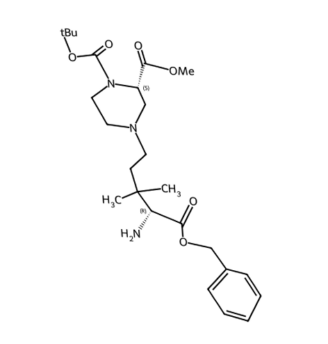 COC(=O)[C@@H]1CN(CCC(C)(C)[C@@H](N)C(=O)OCc2ccccc2)CCN1C(=O)OC(C)(C)C